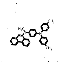 Cc1ccc(N(c2ccc(C)cc2)c2ccc(N(C)c3cc4ccccc4c4ccccc34)cc2)cc1